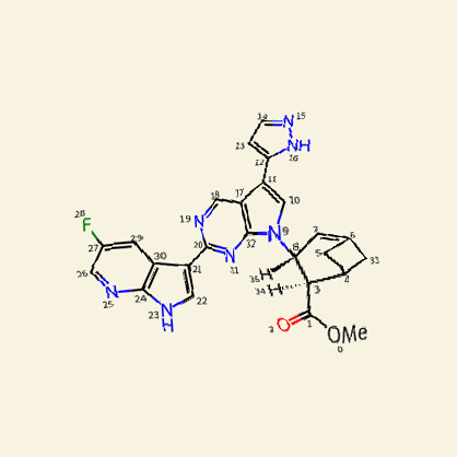 COC(=O)[C@@H]1C2CC(=C[C@H]1n1cc(-c3ccn[nH]3)c3cnc(-c4c[nH]c5ncc(F)cc45)nc31)C2